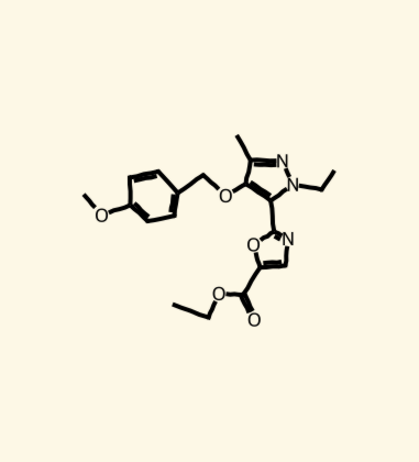 CCOC(=O)c1cnc(-c2c(OCc3ccc(OC)cc3)c(C)nn2CC)o1